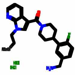 COCCn1cc(C(=O)N2CCC(c3cc(CN)ccc3F)CC2)c2cccnc21.Cl.Cl